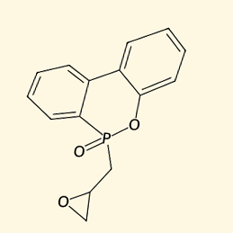 O=P1(CC2CO2)Oc2ccccc2-c2ccccc21